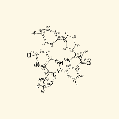 Cc1cc([C@@H](C)Nc2ccc(Cl)nc2C(=O)NS(C)(=O)=O)c2nc(C3CCCN(c4ncc(F)cn4)C3)n(C)c(=O)c2c1